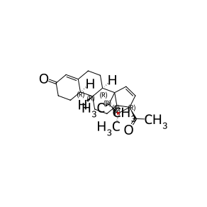 CC(=O)[C@@]12C=CC3([C@H](C)[C@H]1C)[C@@H]1CCC4=CC(=O)CC[C@@H]4[C@H]1CC[C@@]32C